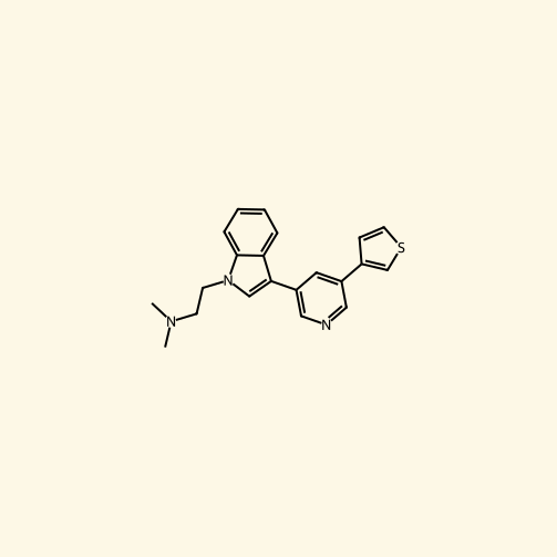 CN(C)CCn1cc(-c2cncc(-c3ccsc3)c2)c2ccccc21